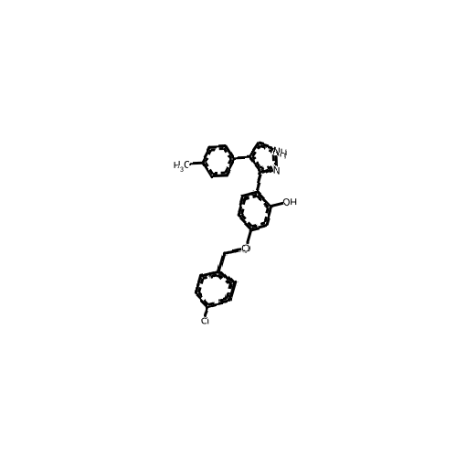 Cc1ccc(-c2c[nH]nc2-c2ccc(OCc3ccc(Cl)cc3)cc2O)cc1